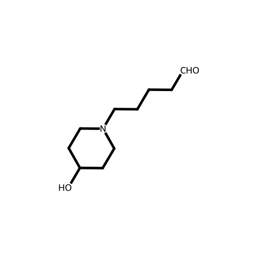 O=CCCCCN1CCC(O)CC1